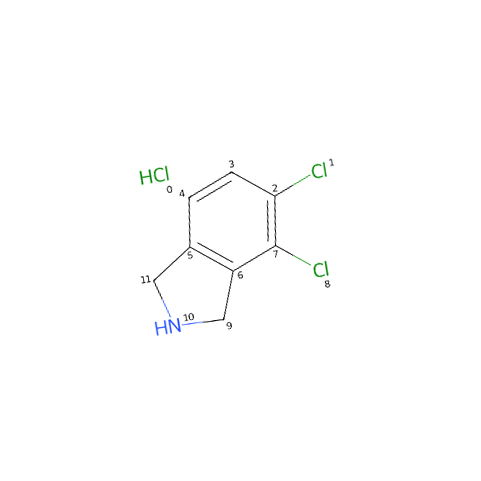 Cl.Clc1ccc2c(c1Cl)CNC2